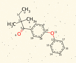 CCC(C)(C)C(=O)c1ccc(Oc2ccccc2)cc1